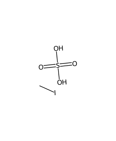 CI.O=S(=O)(O)O